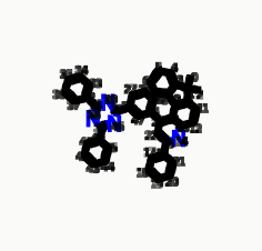 CC1(C)c2ccccc2-c2c1ccc1nc(-c3ccccc3)cc(-c3cccc(-c4nc(-c5ccccc5)nc(-c5ccccc5)n4)c3)c21